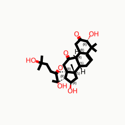 CC(C)(O)CCC(=O)C(C)(O)[C@H]1[C@H](O)C[C@@]2(C)[C@@H]3CC=C4[C@@H](CC(=O)[C@H](O)C4(C)C)[C@]3(C)C(=O)C[C@]12C